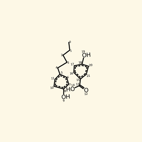 CCCCCc1ccc(O)cc1.O=C(O)c1ccc(O)cc1